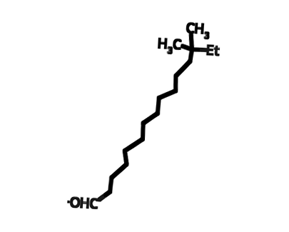 CCC(C)(C)CCCCCCCCCCC[C]=O